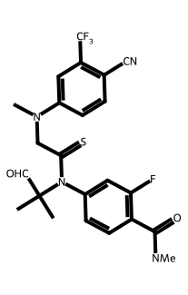 CNC(=O)c1ccc(N(C(=S)CN(C)c2ccc(C#N)c(C(F)(F)F)c2)C(C)(C)C=O)cc1F